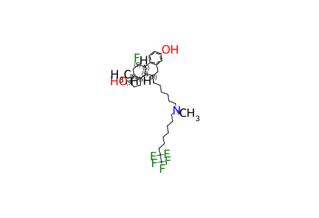 CN(CCCCCCCC(F)(F)C(F)(F)F)CCCCCC[C@@H]1Cc2cc(O)ccc2[C@@H]2[C@@H]1[C@@H]1CC[C@H](O)[C@@]1(C)C[C@@H]2F